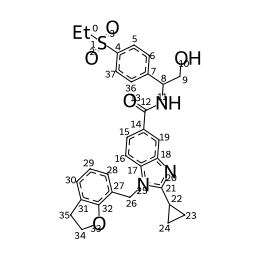 CCS(=O)(=O)c1ccc(C(CO)NC(=O)c2ccc3c(c2)nc(C2CC2)n3Cc2cccc3c2OCC3)cc1